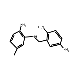 Cc1ccc(N)c(NCc2cc(N)ccc2N)c1